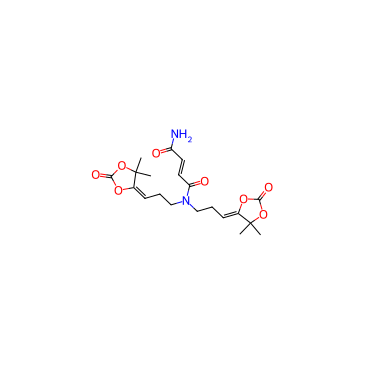 CC1(C)OC(=O)OC1=CCCN(CCC=C1OC(=O)OC1(C)C)C(=O)C=CC(N)=O